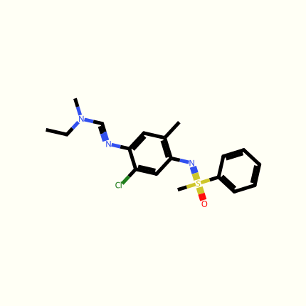 CCN(C)C=Nc1cc(C)c(N=S(C)(=O)c2ccccc2)cc1Cl